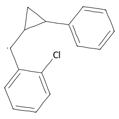 Clc1ccccc1[CH]C1CC1c1ccccc1